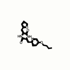 CCCCOc1ccc(C=c2[nH]c(=O)/c(=C\c3ccco3)[nH]c2=O)nc1